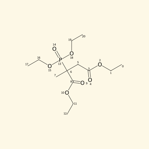 CCOC(=O)CC(C)(C(=O)OCC)P(=O)(OCC)OCC